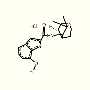 CCOc1cccc2cc(C(=O)N[C@@H]3C4CCN(CC4)C3(C)C)sc12.Cl